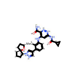 COc1c(Nc2cc(NC(=O)C3CC3)nnc2C(N)=O)cccc1-c1cnn([C@H]2CCC[C@]23CCCO3)c1